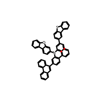 c1ccc(-c2ccc(-c3cc4ccccc4c4ccccc34)cc2N(c2cccc(-c3ccc4sc5ccccc5c4c3)c2)c2ccc3c(c2)oc2ccccc23)cc1